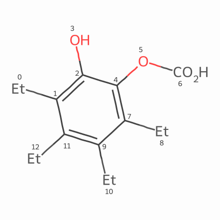 CCc1c(O)c(OC(=O)O)c(CC)c(CC)c1CC